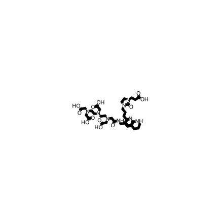 O=C(O)CCN1CCN(CCCc2nc3c(cc2CNC(=O)CN(CCN(CCN(CC(=O)O)CC(=O)O)CC(=O)O)CC(=O)O)CCCN3)C1=O